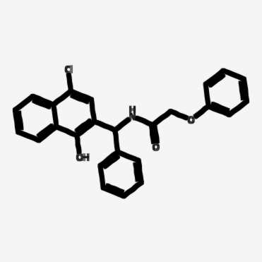 O=C(COc1ccccc1)NC(c1ccccc1)c1cc(Cl)c2ccccc2c1O